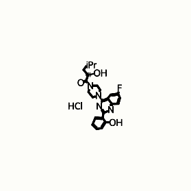 CC(C)C[C@@H](O)C(=O)N1CCN(c2nc(-c3ccccc3O)nc3ccc(F)cc23)CC1.Cl